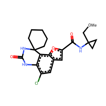 COCC1(NC(=O)c2cc3cc(Cl)c4c(c3o2)C2(CCCCC2)NC(=O)N4)CC1